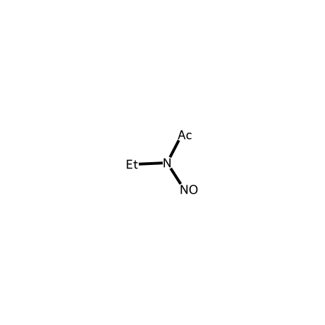 CCN(N=O)C(C)=O